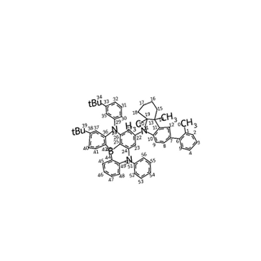 Cc1ccccc1-c1ccc2c(c1)C1(C)CCCCC1(C)N2c1cc2c3c(c1)N(c1cccc(C(C)(C)C)c1)c1cc(C(C)(C)C)ccc1B3c1ccccc1N2c1ccccc1